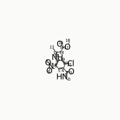 CNC(=O)c1cc([N+](=O)[O-])c(N[C@@H](C)CC(=O)OC)cc1Cl